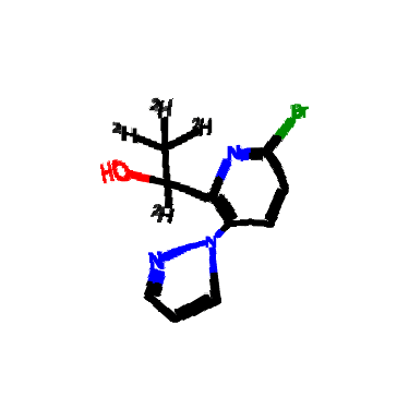 [2H]C([2H])([2H])C([2H])(O)c1nc(Br)ccc1-n1cccn1